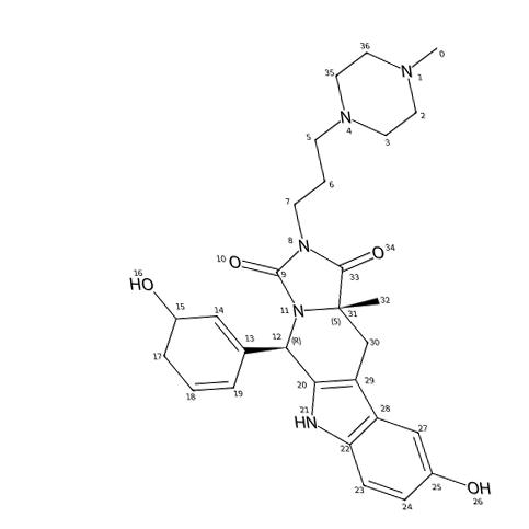 CN1CCN(CCCN2C(=O)N3[C@H](C4=CC(O)CC=C4)c4[nH]c5ccc(O)cc5c4C[C@@]3(C)C2=O)CC1